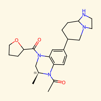 CC(=O)N1c2ccc(C3CCC4NCCN4C3)cc2N(C(=O)C2CCCO2)C[C@@H]1C